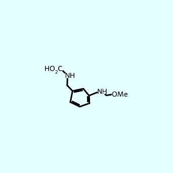 COCNc1cccc(CNC(=O)O)c1